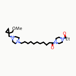 CCC(=O)N1CCN(C(=O)CCCCCCCCCCN2CCN(CC3(COC)CC3)CC2)CC1